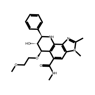 CNC(=O)c1cc2c(nc(C)n2C)c2c1[C@@H](OCCOC)[C@H](O)[C@@H](c1ccccc1)N2